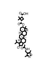 Cc1noc(C)c1CNC(=O)C[C@@]12CC[C@]3(C)[C@H](CC[C@@H]4[C@@]5(C)CC[C@H](OC(=O)[C@H]6C[C@@H](C(=O)O)C6(C)C)C(C)(C)[C@@H]5CC[C@]43C)C1=C(C(C)C)C(=O)C2